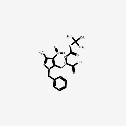 Cc1nn(Cc2ccccc2)c(C[C@H](NC(=O)OC(C)(C)C)C(=O)O)c1[N+](=O)[O-]